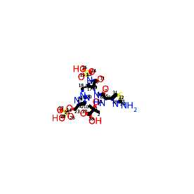 CC(C)(ON=C(C(=O)N[C@@H]1C(=O)N(S(=O)(=O)O)[C@@H]1Cn1ncc(COS(=O)(=O)O)n1)c1csc(N)n1)C(=O)O